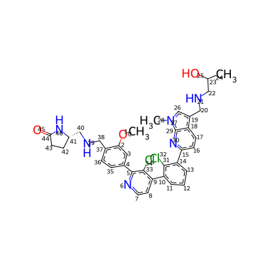 COc1cc(-c2nccc(-c3cccc(-c4ccc5c(CNCC(C)O)cn(C)c5n4)c3Cl)c2Cl)ccc1CNC[C@@H]1CCC(=O)N1